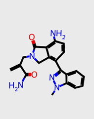 C=C(CN1Cc2c(-c3nn(C)c4ccccc34)ccc(N)c2C1=O)C(N)=O